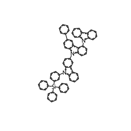 c1ccc(-c2ccc3c(c2)c2c(-n4c5ccccc5c5ccccc54)cccc2n3-c2ccc3c(c2)c2ccccc2n3-c2cccc([Si](c3ccccc3)(c3ccccc3)c3ccccc3)c2)cc1